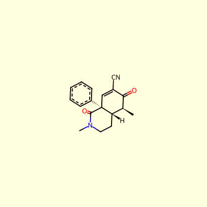 C[C@@H]1C(=O)C(C#N)=C[C@]2(c3ccccc3)C(=O)N(C)CC[C@@H]12